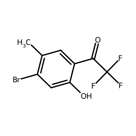 Cc1cc(C(=O)C(F)(F)F)c(O)cc1Br